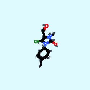 Cc1ccc(-n2c(Cl)c(C=O)n(C)c2=O)cc1